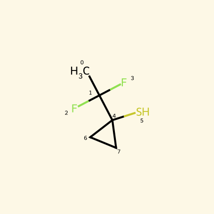 CC(F)(F)C1(S)CC1